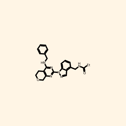 CCC(=O)NCc1cccc2c1cnn2-c1nc2c(c(NCc3ccccc3)n1)CCOC2